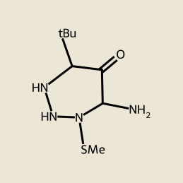 CSN1NNC(C(C)(C)C)C(=O)C1N